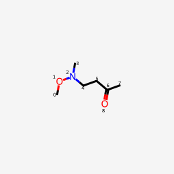 CON(C)CCC(C)=O